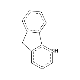 c1ccc2c(c1)Cc1ccc[siH]c1-2